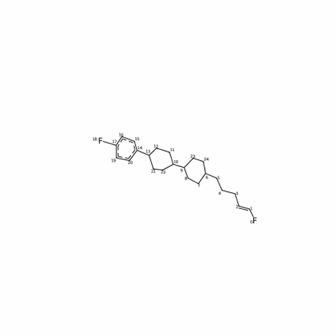 F/C=C/CCCC1CCC(C2CCC(c3ccc(F)cc3)CC2)CC1